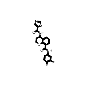 O=C(NC1CCOc2c(C(=O)Nc3ccc(F)c(F)c3)cccc21)c1cncs1